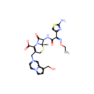 CCO/N=C(\C(=O)N[C@@H]1C(=O)N2C(C(=O)[O-])=C(Cn3cc[n+]4ccc(CO)c-4c3)CS[C@@H]12)c1csc(N)n1